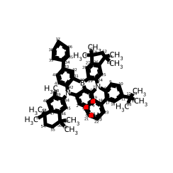 Cc1cc2c3c(c1)N(c1ccc(C(C)(C)C)cc1-c1ccccc1)c1cc4c(cc1B3c1cc(-c3ccccc3)ccc1N2c1cc2c(cc1C)C(C)(C)CCC2(C)C)C(C)(C)CC4(C)C